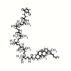 CC(C)CCC[C@@H](C)C1CCC2[C@@H]3CC=C4C[C@@H](OC(=O)NCCC(C)(S)OCCC(C)(C)NC(=O)CCC(C)(S)OCCC(C)(C)NC(=O)CCC(C)(S)OCCC(C)(C)NC(=O)CCN5C(=O)C=CC5=O)CC[C@]4(C)C3CC[C@@]21C